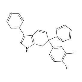 Fc1ccc(C2(c3ccccc3)C=Cc3c(-c4ccncc4)n[nH]c3C2)cc1F